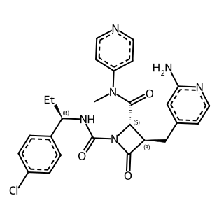 CC[C@@H](NC(=O)N1C(=O)[C@H](Cc2ccnc(N)c2)[C@H]1C(=O)N(C)c1ccncc1)c1ccc(Cl)cc1